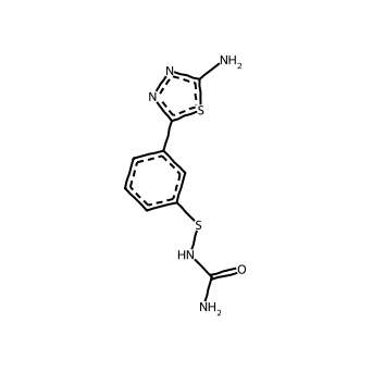 NC(=O)NSc1cccc(-c2nnc(N)s2)c1